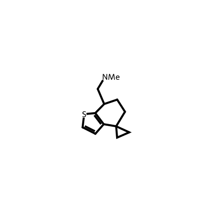 CNCC1CCC2(CC2)c2ccsc21